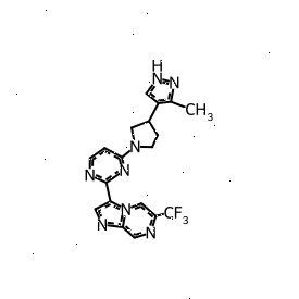 Cc1n[nH]cc1C1CCN(c2ccnc(-c3cnc4cnc(C(F)(F)F)cn34)n2)C1